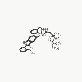 CC(C)(CC(=O)N[C@@H]1CCc2ccccc2N(Cc2ccc3[nH]c(-c4ccccc4CO)c(Br)c3c2)C1=O)NC[C@H](O)CO